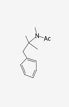 [CH2]C(=O)N(C)C(C)(C)Cc1ccccc1